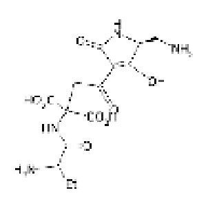 CC[C@H](N)C(=O)NC(CC(=O)C1=C(O)[C@H](CN)NC1=O)(C(=O)O)C(=O)O